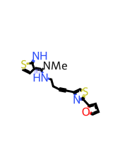 CN/C(NCCC#Cc1csc(-c2ccco2)n1)=C1/C=CSC1=N